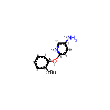 CC(C)(C)c1ccccc1Oc1ccc(N)cn1